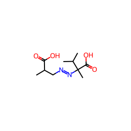 CC(CN=NC(C)(C(=O)O)C(C)C)C(=O)O